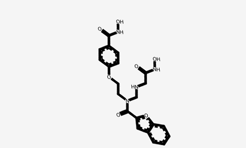 O=C(CNCN(CCOc1ccc(C(=O)NO)cc1)C(=O)c1cc2ccccc2o1)NO